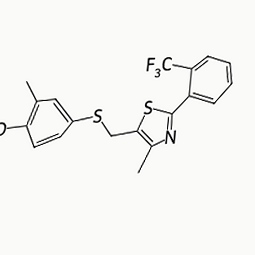 Cc1cc(SCc2sc(-c3ccccc3C(F)(F)F)nc2C)ccc1O